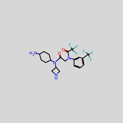 NC1CCC(N(C(=O)CN(C(=O)C(F)(F)F)c2cccc(C(F)(F)F)c2)C2CNC2)CC1